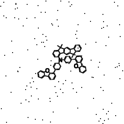 CC1(C)c2ccccc2-c2cc3c(cc21)-c1c(N(c2ccc(-c4cccc5c4oc4ccccc45)cc2)C2C=CC(c4cccc5c4oc4ccccc45)=CC2)cccc1C3(C)C